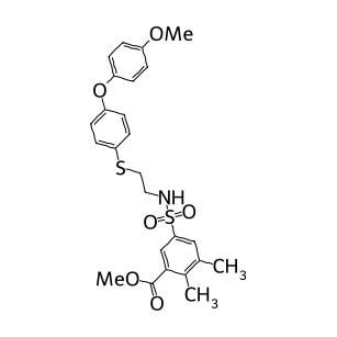 COC(=O)c1cc(S(=O)(=O)NCCSc2ccc(Oc3ccc(OC)cc3)cc2)cc(C)c1C